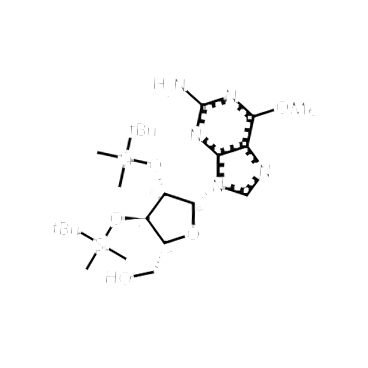 COc1nc(N)nc2c1ncn2[C@@H]1O[C@H](CO)[C@@H](O[Si](C)(C)C(C)(C)C)[C@@H]1O[Si](C)(C)C(C)(C)C